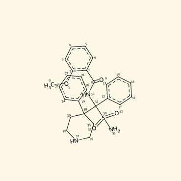 COc1ccccc1C(=O)NC(c1ccccc1)(C1(c2ccccc2)CCNCC1)S(N)(=O)=O